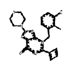 Cc1c(Cl)cccc1Cn1c(C2=CC=C2)nc(=O)c2sc(N3CCOCC3)nc21